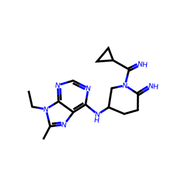 CCn1c(C)nc2c(NC3CCC(=N)N(C(=N)C4CC4)C3)ncnc21